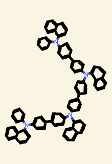 c1ccc(N(c2ccc(-c3ccc(N(c4ccc(-c5ccc(N(c6ccc(-c7ccc(N(c8ccccc8)c8cccc9ccccc89)cc7)cc6)c6cccc7ccccc67)cc5)cc4)c4cccc5ccccc45)cc3)cc2)c2cccc3ccccc23)cc1